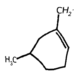 [CH2]C1=CCCC(C)C1